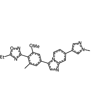 CCc1nc(-c2c(C)cc(-c3cnc4cc(-c5cnn(C)c5)ccn34)cc2OC)no1